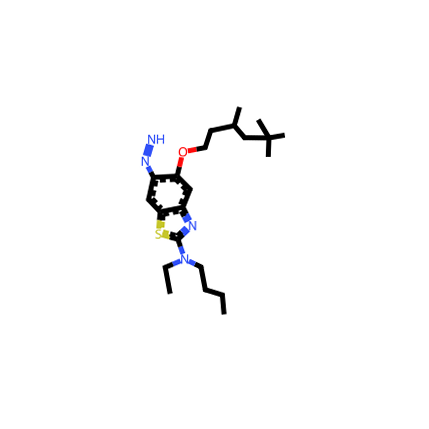 CCCCN(CC)c1nc2cc(OCCC(C)CC(C)(C)C)c(N=N)cc2s1